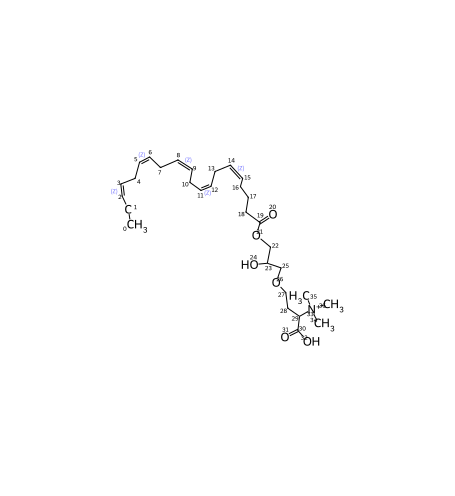 CC/C=C\C/C=C\C/C=C\C/C=C\C/C=C\CCCC(=O)OCC(O)COCCC(C(=O)O)[N+](C)(C)C